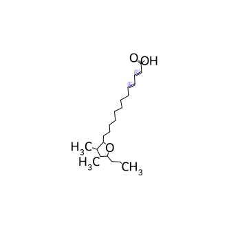 CCCC1OC(CCCCCCCC/C=C/C=C/C(=O)O)C(C)C1C